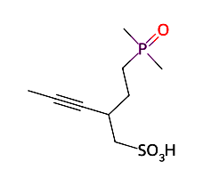 CC#CC(CCP(C)(C)=O)CS(=O)(=O)O